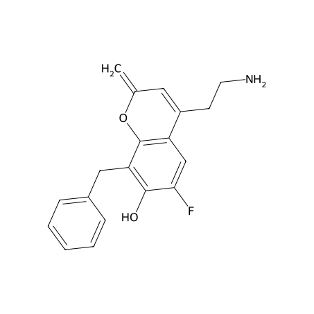 C=C1C=C(CCN)c2cc(F)c(O)c(Cc3ccccc3)c2O1